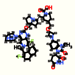 C#Cc1c(F)ccc2cccc(-c3ncc4c(N5CC6CCC(C5)N6)nc(OC[C@@]56CCCN5[C@H](CC5CC(COC7CN(c8ccc9c(c8)n(C)c(=O)n9C8CCC(=O)NC8=O)C7)CCN5C(=O)O)CC6)nc4c3F)c12